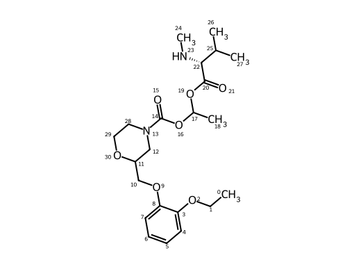 CCOc1ccccc1OCC1CN(C(=O)OC(C)OC(=O)[C@H](NC)C(C)C)CCO1